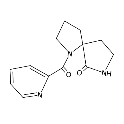 O=C(c1ccccn1)N1CCCC12CCNC2=O